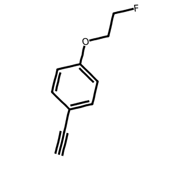 C#Cc1ccc(OCCF)cc1